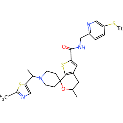 CCSc1ccc(CNC(=O)c2cc3c(s2)C2(CCN(C(C)c4cnc(C(F)(F)F)s4)CC2)OC(C)C3)nc1